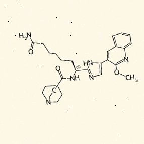 COc1nc2ccccc2cc1-c1cnc([C@H](CCCCCC(N)=O)NC(=O)C23CCN(CC2)CC3)[nH]1